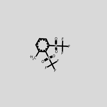 [CH2]c1cccc(S(=O)(=O)C(F)(F)F)c1S(=O)(=O)C(F)(F)F